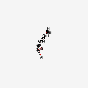 C=C1N[C@H]2[C@H](CS[C@H]2CCCCNC(=O)CCOCCOCCNC(=O)C2C[N+](=c3ccc4c(-c5cc(C(=O)NCCOCCOCCCCCCCl)ccc5C(=O)[O-])c5ccc(N6CCC6)cc5oc-4c3)C2)N1